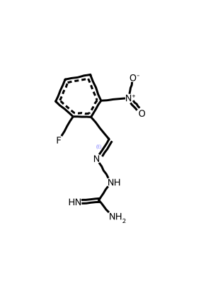 N=C(N)N/N=C/c1c(F)cccc1[N+](=O)[O-]